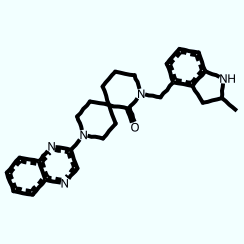 CC1Cc2c(CN3CCCC4(CCN(c5cnc6ccccc6n5)CC4)C3=O)cccc2N1